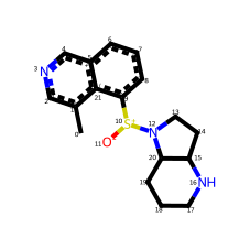 Cc1cncc2cccc([S+]([O-])N3CCC4NCCCC43)c12